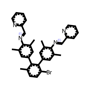 Cc1cc(-c2c(C)ccc(Br)c2-c2cc(C)c(/N=C/c3ccccn3)c(C)c2)cc(C)c1/N=C/c1ccccn1